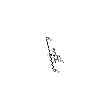 CC=CC=C(C=CCCCCCCCCCC)ON(CC(C)(C)SN=O)C(C)=O